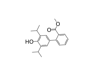 COC(=O)c1ccccc1-c1cc(C(C)C)c(O)c(C(C)C)c1